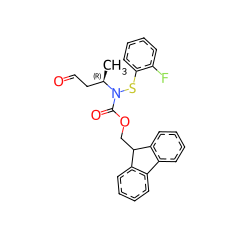 C[C@H](CC=O)N(Sc1ccccc1F)C(=O)OCC1c2ccccc2-c2ccccc21